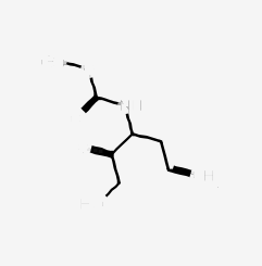 C=CCC(NC(=O)OC(C)(C)C)C(=O)CO